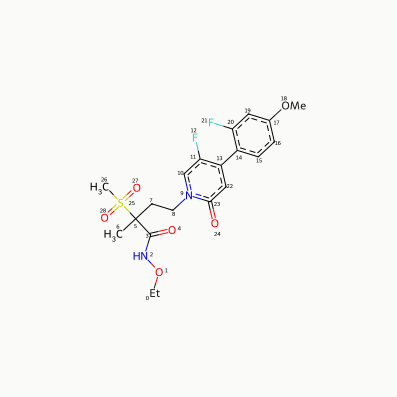 CCONC(=O)C(C)(CCn1cc(F)c(-c2ccc(OC)cc2F)cc1=O)S(C)(=O)=O